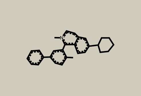 Cc1ccc(-c2ccccc2)cc1-c1c2ccc(C3CCCCC3)cc2cc[n+]1C